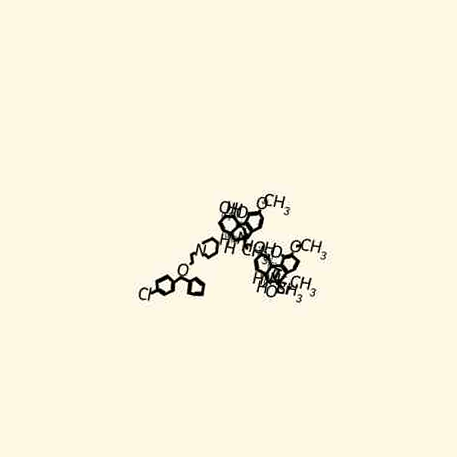 CBr.COc1ccc2c3c1O[C@H]1[C@@H](O)C=C[C@H]4[C@@H](C2)N(C)CC[C@@]341.COc1ccc2c3c1O[C@H]1[C@@H](O)C=C[C@H]4[C@@H](C2)[N+](C)([O-])CC[C@@]341.Clc1ccc(C(OCCN2CCCCC2)c2ccccc2)cc1